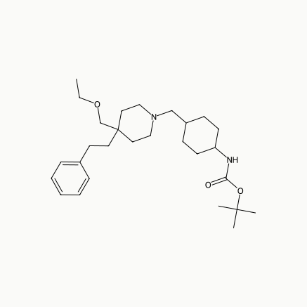 CCOCC1(CCc2ccccc2)CCN(CC2CCC(NC(=O)OC(C)(C)C)CC2)CC1